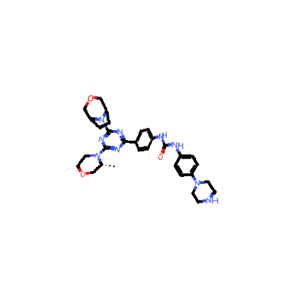 C[C@@H]1COCCN1c1nc(-c2ccc(NC(=O)Nc3ccc(N4CCNCC4)cc3)cc2)nc(N2C3CCC2COC3)n1